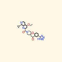 CCOc1cc(C(=O)N2CCC3(CC2)CC(=O)c2cc(-c4nnn[nH]4)ccc2O3)nc2c(C3CC3)nccc12